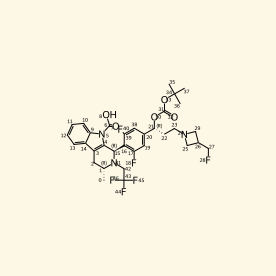 C[C@@H]1Cc2c(n(C(=O)O)c3ccccc23)[C@@H](c2c(F)cc([C@@H](CCN3CC(CF)C3)OC(=O)OC(C)(C)C)cc2F)N1CC(F)(F)F